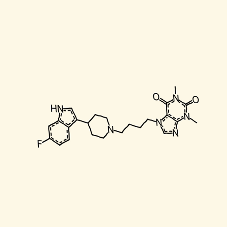 Cn1c(=O)c2c(ncn2CCCCN2CCC(c3c[nH]c4cc(F)ccc34)CC2)n(C)c1=O